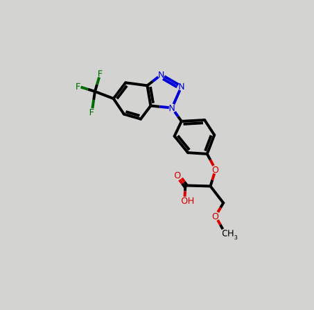 COCC(Oc1ccc(-n2nnc3cc(C(F)(F)F)ccc32)cc1)C(=O)O